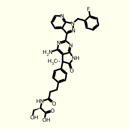 C[C@@]1(c2ccc(CCC(=O)N[C@H](CO)C(=O)O)cc2)C(=O)Nc2nc(-c3nn(Cc4ccccc4F)c4ncccc34)nc(N)c21